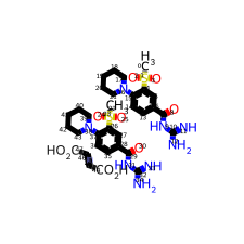 CS(=O)(=O)c1cc(C(=O)NC(=N)N)ccc1N1CCCCC1.CS(=O)(=O)c1cc(C(=O)NC(=N)N)ccc1N1CCCCC1.O=C(O)/C=C/C(=O)O